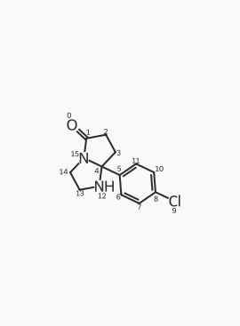 O=C1CCC2(c3ccc(Cl)cc3)NCCN12